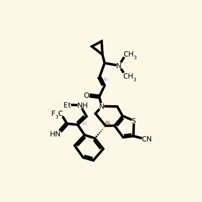 CCN/C=C(\C(=N)C(F)(F)F)c1ccccc1[C@@H]1CN(C(=O)/C=C/C(C2CC2)N(C)C)Cc2sc(C#N)cc21